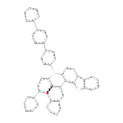 c1ccc(-c2ccc(-c3ccc(N(c4ccc(-c5ccccc5)cc4)c4ccc5c(oc6ccccc65)c4-c4ccc5ccccc5c4)cc3)cc2)cc1